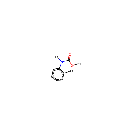 CCc1ccccc1N(CC)C(=O)OC(C)(C)C